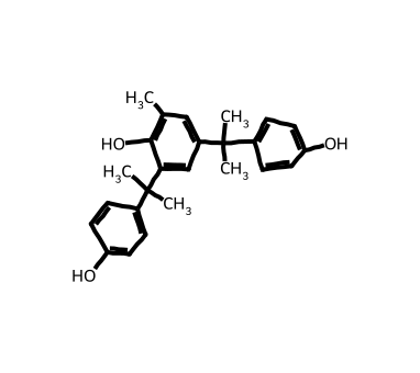 Cc1cc(C(C)(C)c2ccc(O)cc2)cc(C(C)(C)c2ccc(O)cc2)c1O